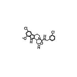 COc1cc(Cl)cc2c3c([nH]c12)C(CO)N(C(=O)NCc1cccc(Cl)c1)CC3